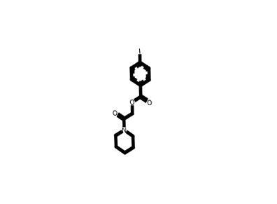 O=C(OCC(=O)N1CCCCC1)c1ccc(I)cc1